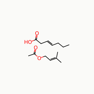 CC(=O)OCC=C(C)C.CCCC=CCC(=O)O